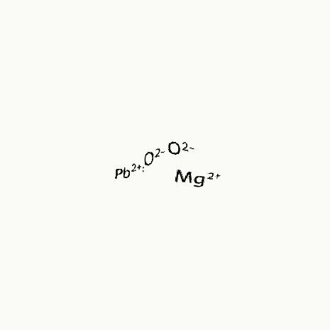 [Mg+2].[O-2].[O-2].[Pb+2]